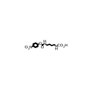 O=C(O)NCCCCNC(=O)Oc1ccc([N+](=O)[O-])cc1